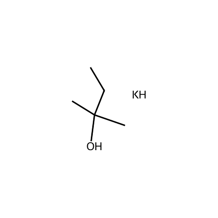 CCC(C)(C)O.[KH]